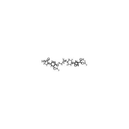 Cc1cc(N2CCNC2=O)cnc1OCCC1C[C@@H]1C1CCN(c2nc(C(C)C)no2)CC1